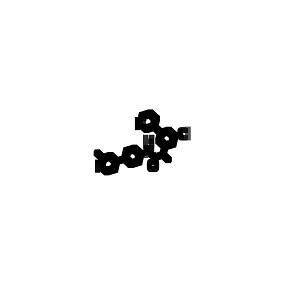 Cc1cc(-c2ccc(NC(=O)C(C)c3cc(Cl)cc(-c4cccnc4)c3)cc2)ccn1